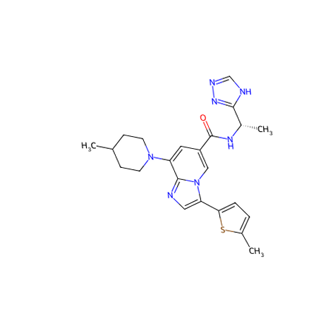 Cc1ccc(-c2cnc3c(N4CCC(C)CC4)cc(C(=O)N[C@@H](C)c4nnc[nH]4)cn23)s1